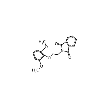 COc1cccc(OC)c1OCCN1C(=O)c2ccccc2C1=O